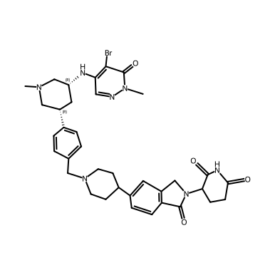 CN1C[C@H](Nc2cnn(C)c(=O)c2Br)C[C@H](c2ccc(CN3CCC(c4ccc5c(c4)CN(C4CCC(=O)NC4=O)C5=O)CC3)cc2)C1